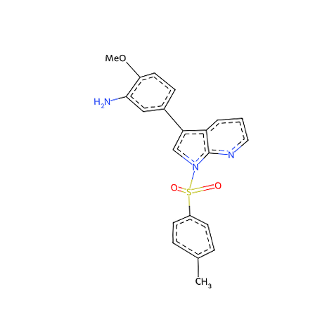 COc1ccc(-c2cn(S(=O)(=O)c3ccc(C)cc3)c3ncccc23)cc1N